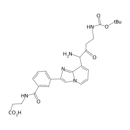 CC(C)(C)OC(=O)NCCC(=O)C(N)c1cccn2cc(-c3cccc(C(=O)NCCC(=O)O)c3)nc12